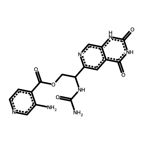 NC(=O)NC(COC(=O)c1ccncc1N)c1cc2c(=O)[nH]c(=O)[nH]c2cn1